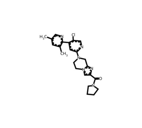 Cc1cnc(-c2cc(N3CCn4cc(C(=O)N5CCCC5)nc4C3)ncc2Cl)c(C)c1